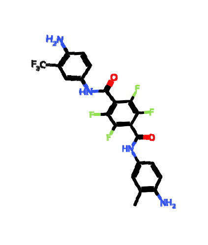 Cc1cc(NC(=O)c2c(F)c(F)c(C(=O)Nc3ccc(N)c(C(F)(F)F)c3)c(F)c2F)ccc1N